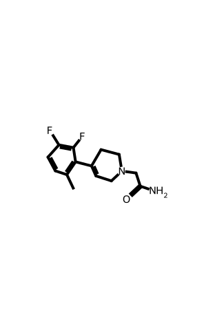 Cc1ccc(F)c(F)c1C1=CCN(CC(N)=O)CC1